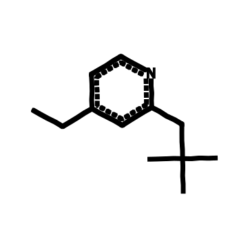 CCc1ccnc(CC(C)(C)C)c1